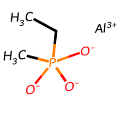 CCP(C)([O-])([O-])[O-].[Al+3]